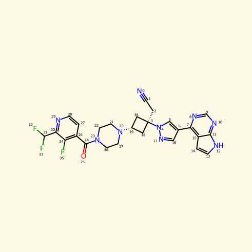 N#CC[C@]1(n2cc(-c3ncnc4[nH]ccc34)cn2)C[C@H](N2CCN(C(=O)c3ccnc(C(F)F)c3F)CC2)C1